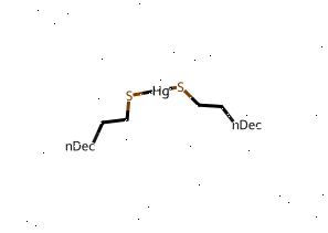 CCCCCCCCCCCC[S][Hg][S]CCCCCCCCCCCC